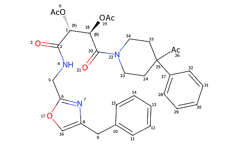 CC(=O)O[C@@H](C(=O)NCc1nc(Cc2ccccc2)co1)[C@@H](OC(C)=O)C(=O)N1CCC(C(C)=O)(c2ccccc2)CC1